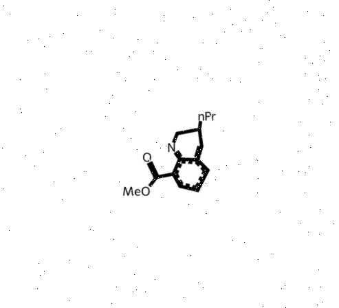 CCCC1C=c2cccc(C(=O)OC)c2=NC1